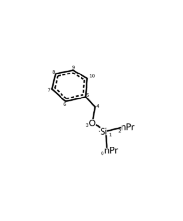 CCC[Si](CCC)OCc1ccccc1